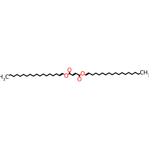 CCCCCCCCCCCCCCCCC=COC(=O)C=CC(=O)OC=CCCCCCCCCCCCCCCCC